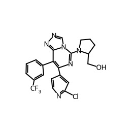 OCC1CCCN1c1nc(-c2ccnc(Cl)c2)c(-c2cccc(C(F)(F)F)c2)c2nncn12